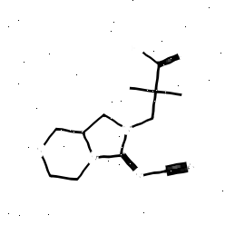 CC(C)(CN1CC2CNCCN2C1=NC#N)C(=O)O